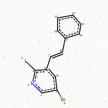 Brc1cnc(I)c(/C=C/c2ccccc2)c1